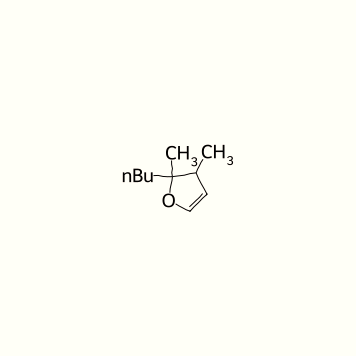 CCCCC1(C)OC=CC1C